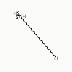 S=C(S)NCCCCCCCCCCCCCCCCCCCCCCCCCCCl